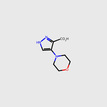 O=C(O)c1n[nH]cc1N1CCOCC1